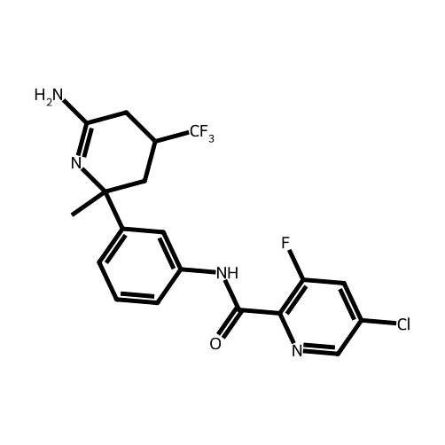 CC1(c2cccc(NC(=O)c3ncc(Cl)cc3F)c2)CC(C(F)(F)F)CC(N)=N1